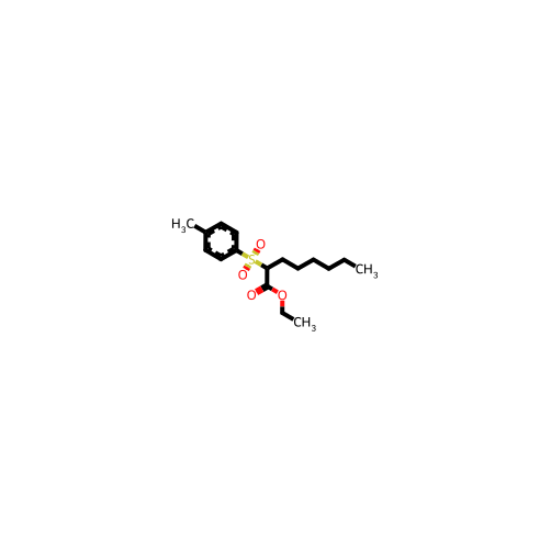 CCCCCCC(C(=O)OCC)S(=O)(=O)c1ccc(C)cc1